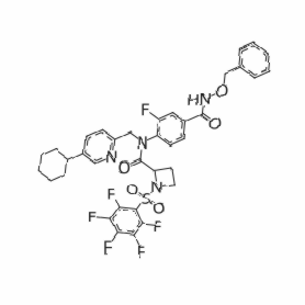 O=C(NOCc1ccccc1)c1ccc(N(Cc2ccc(C3CCCCC3)cn2)C(=O)C2CCN2S(=O)(=O)c2c(F)c(F)c(F)c(F)c2F)c(F)c1